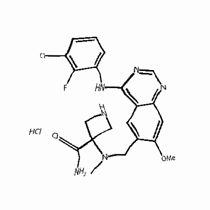 COc1cc2ncnc(Nc3cccc(Cl)c3F)c2cc1CN(C)C1(C(N)=O)CNC1.Cl